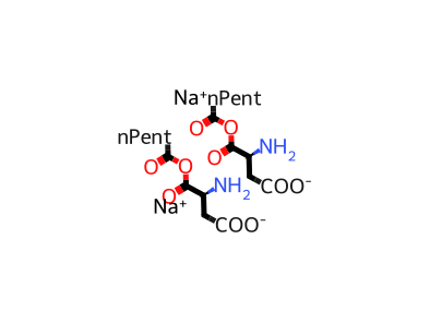 CCCCCC(=O)OC(=O)[C@@H](N)CC(=O)[O-].CCCCCC(=O)OC(=O)[C@@H](N)CC(=O)[O-].[Na+].[Na+]